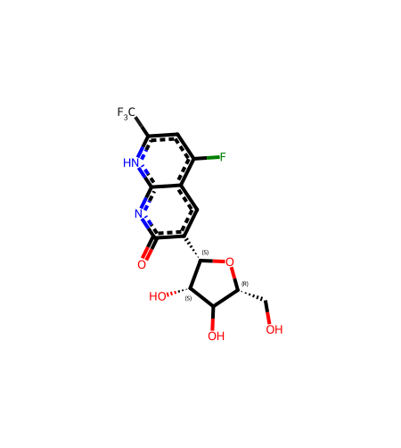 O=c1nc2[nH]c(C(F)(F)F)cc(F)c-2cc1[C@@H]1O[C@H](CO)C(O)[C@@H]1O